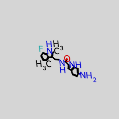 Cc1[nH]c2c(F)ccc(C)c2c1CCNC(=O)c1cc2ccc(N)cc2[nH]1